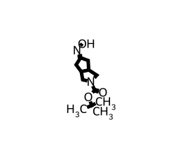 CC(C)(C)OC(=O)N1CC2CC(=NO)CC2C1